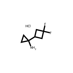 Cl.NC1(C2CC(F)(F)C2)CC1